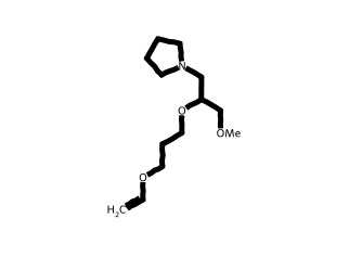 C=COCCCOC(COC)CN1CCCC1